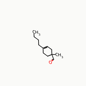 CCCCC1=CCC(C)(C=O)CC1